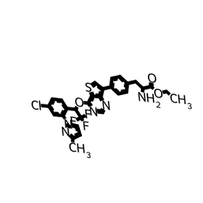 CCOC(=O)C(N)Cc1ccc(-c2csc3c(OC(c4ccc(Cl)cc4-n4ccc(C)n4)C(F)(F)F)ncnc23)cc1